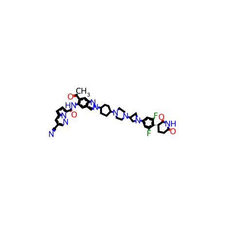 CC(=O)c1cc2nn(C3CCC(N4CCN(C5CN(c6cc(F)c([C@H]7CCC(=O)NC7=O)c(F)c6)C5)CC4)CC3)cc2cc1NC(=O)c1ccc2cc(C#N)cnn12